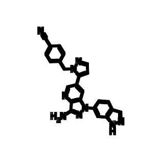 N#Cc1ccc(Cn2nccc2-c2cnc3c(N)nn(-c4ccc5cn[nH]c5c4)c3c2)cc1